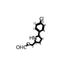 O=COCC1CCC(c2ccc(Cl)cc2)N1